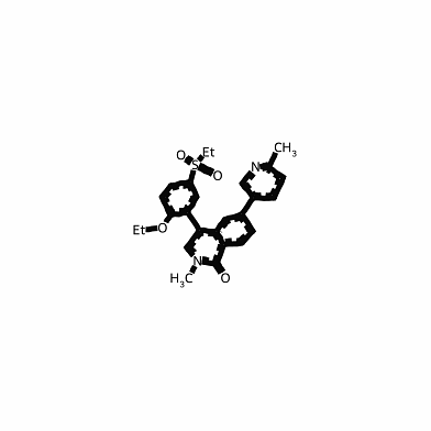 CCOc1ccc(S(=O)(=O)CC)cc1-c1cn(C)c(=O)c2ccc(-c3ccc(C)nc3)cc12